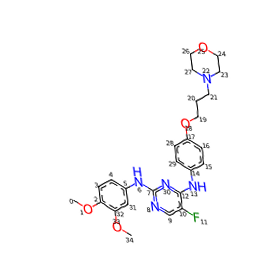 COc1ccc(Nc2ncc(F)c(Nc3ccc(OCCCN4CCOCC4)cc3)n2)cc1OC